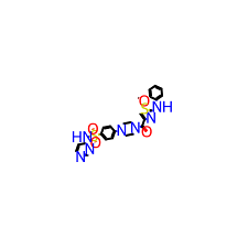 COc1ccccc1Nc1nc(C(=O)N2CCN(c3ccc(S(=O)(=O)Nc4ccncn4)cc3)CC2)cs1